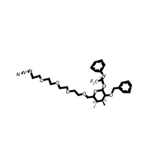 C[C@@H]1C(COCCOCCOCCOCCN=[N+]=[N-])OC(O/C(=N/c2ccccc2)C(F)(F)F)C(OCc2ccccc2)[C@H]1C